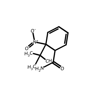 CC(C)(C)C1([N+](=O)[O-])C=CC=CC1C(N)=O